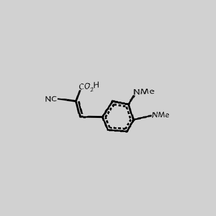 CNc1ccc(C=C(C#N)C(=O)O)cc1NC